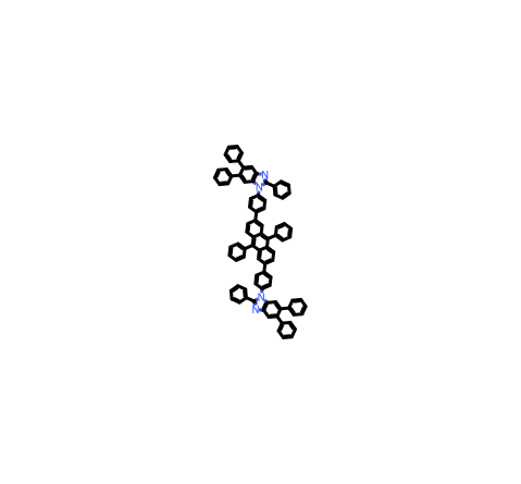 c1ccc(-c2cc3nc(-c4ccccc4)n(-c4ccc(-c5ccc6c(-c7ccccc7)c7cc(-c8ccc(-n9c(-c%10ccccc%10)nc%10cc(-c%11ccccc%11)c(-c%11ccccc%11)cc%109)cc8)ccc7c(-c7ccccc7)c6c5)cc4)c3cc2-c2ccccc2)cc1